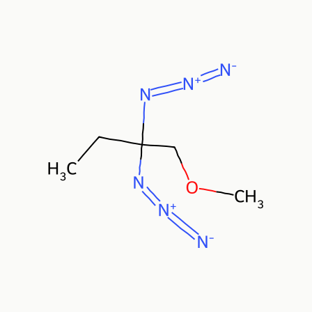 CCC(COC)(N=[N+]=[N-])N=[N+]=[N-]